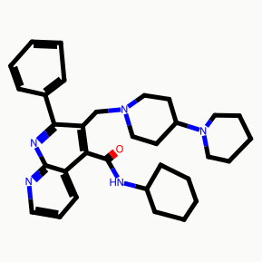 O=C(NC1CCCCC1)c1c(CN2CCC(N3CCCCC3)CC2)c(-c2ccccc2)nc2ncccc12